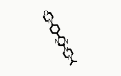 CC(C)N1CCN(C2=NCC(C3CCC(N4CCOCC4)CC3)N=C2)CC1